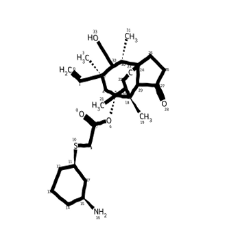 C=C[C@]1(C)C[C@@H](OC(=O)CS[C@@H]2CCC[C@H](N)C2)[C@]2(C)C(C)CCC3(CCC(=O)C32)[C@@H](C)C1O